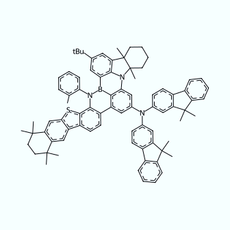 Cc1ccccc1N1B2c3cc(C(C)(C)C)cc4c3N(c3cc(N(c5ccc6c(c5)C(C)(C)c5ccccc5-6)c5ccc6c(c5)C(C)(C)c5ccccc5-6)cc(c32)-c2ccc3c(sc5cc6c(cc53)C(C)(C)CCC6(C)C)c21)C1(C)CCCCC41C